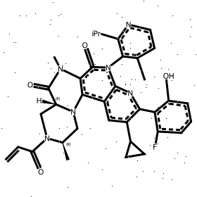 C=CC(=O)N1C[C@@H]2C(=O)N(C)c3c(c4cc(C5CC5)c(-c5c(O)cccc5F)nc4n(-c4c(C)ccnc4C(C)C)c3=O)N2C[C@H]1C